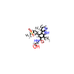 CCS(=O)(=O)c1cccc(-c2cc(C(=O)NCCO)c(C)c3[nH]c4ncc(C)cc4c23)c1